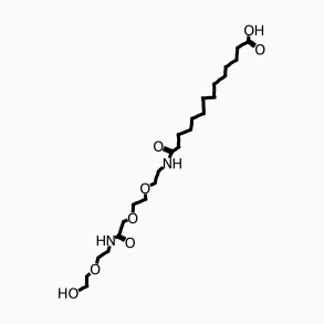 O=C(O)CCCCCCCCCCCCC(=O)NCCOCCOCC(=O)NCCOCCO